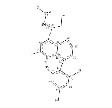 CC/C(=N\OC)c1cc(C)nc2c(-c3c(C)cc(C)cc3C)cccc12